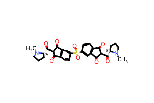 CN1CCC[C@H]1C(=O)C1C(=O)c2ccc(S(=O)(=O)c3ccc4c(c3)C(=O)C(C(=O)[C@@H]3CCCN3C)C4=O)cc2C1=O